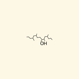 CCCC(C)CC(C)CCC(CO)C(C)CC(C)CCC